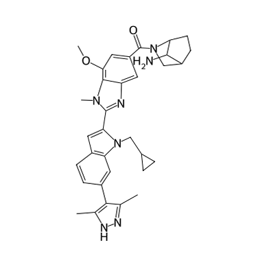 COc1cc(C(=O)N2CC3CCC2C3N)cc2nc(-c3cc4ccc(-c5c(C)n[nH]c5C)cc4n3CC3CC3)n(C)c12